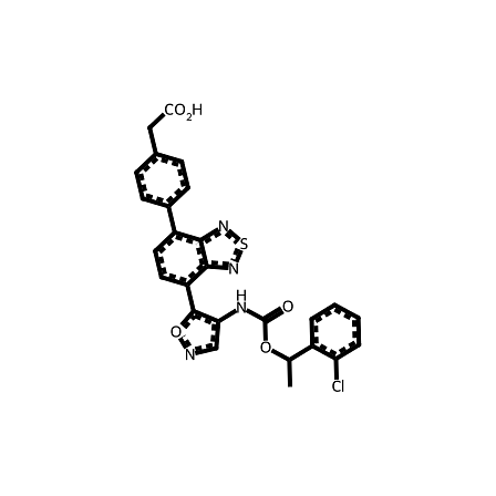 CC(OC(=O)Nc1cnoc1-c1ccc(-c2ccc(CC(=O)O)cc2)c2nsnc12)c1ccccc1Cl